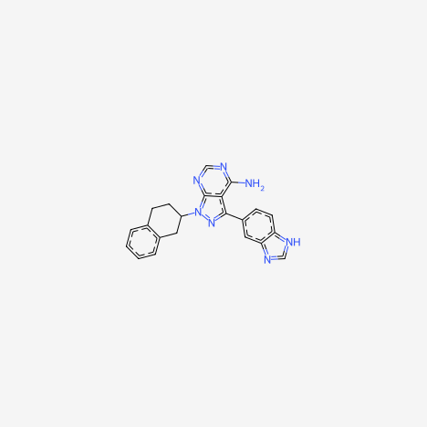 Nc1ncnc2c1c(-c1ccc3[nH]cnc3c1)nn2C1CCc2ccccc2C1